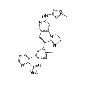 Cc1ccc(-c2cccnc2C(N)=O)cc1C1=Cc2cnc(Nc3cnn(C)c3)nc2N2CCN=C12